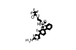 Nc1ncc(-c2ccc(-c3ccccc3S(=O)(=O)NCCOC(=O)C(F)(F)F)cc2F)cn1